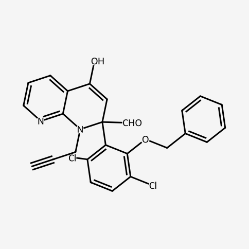 C#CCN1c2ncccc2C(O)=CC1(C=O)c1c(Cl)ccc(Cl)c1OCc1ccccc1